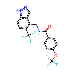 O=C(NCc1c(C(F)(F)F)ccc2[nH]ncc12)c1ccc(OC(F)(F)F)cc1